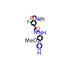 COc1cc(Nc2ncc(-c3cc(F)c4c(c3)N(C(C)C)CCO4)o2)ccc1N1CCNCC1